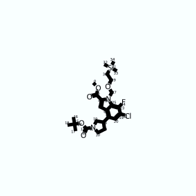 COC(=O)c1cc2c(C3CCN(C(=O)OC(C)(C)C)C3)cc(Cl)c(F)c2n1COCC[Si](C)(C)C